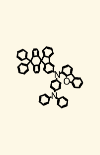 c1ccc(N(c2ccccc2)c2ccc(N(c3ccc4c(c3)-c3ccccc3C43c4ccccc4C(c4ccccc4)(c4ccccc4)c4ccccc43)c3cccc4c3oc3ccccc34)cc2)cc1